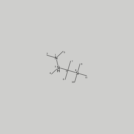 CN(C)[SiH](C)C(C)(C)[Si](C)(C)C